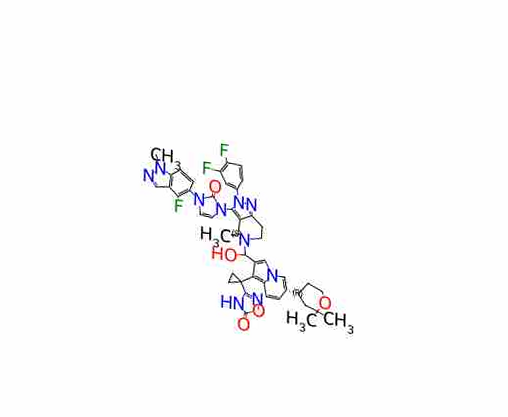 C[C@H]1c2c(nn(-c3ccc(F)c(F)c3)c2-n2ccn(-c3ccc4c(cnn4C)c3F)c2=O)CCN1C(O)c1cn2cc([C@@H]3CCOC(C)(C)C3)ccc2c1C1(c2noc(=O)[nH]2)CC1